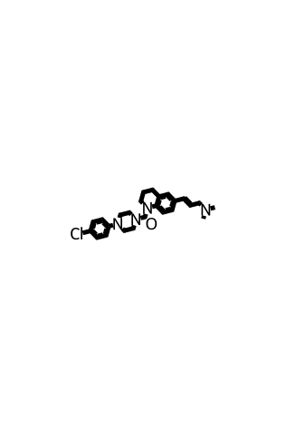 CN(C)CC=Cc1ccc2c(c1)CCCN2C(=O)N1CCN(c2ccc(Cl)cc2)CC1